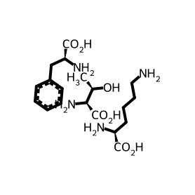 C[C@@H](O)[C@H](N)C(=O)O.NCCCC[C@H](N)C(=O)O.N[C@@H](Cc1ccccc1)C(=O)O